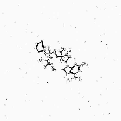 CCN(C)c1nc(C)nc2c1ncn2[C@@H]1O[C@](CCl)(COP(=O)(N[C@@H](C)C(=O)OC(C)C)Oc2ccccc2)[C@@H](O)[C@H]1F